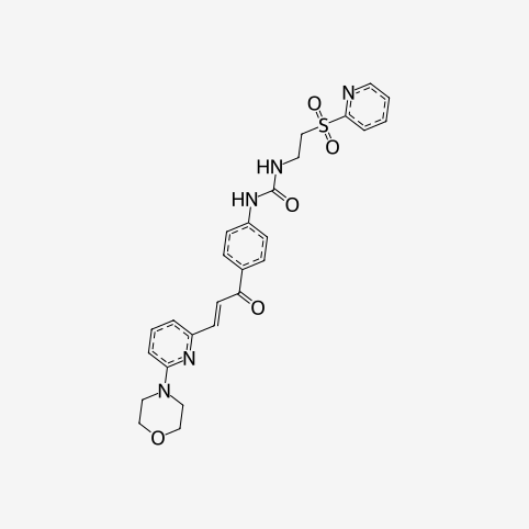 O=C(NCCS(=O)(=O)c1ccccn1)Nc1ccc(C(=O)/C=C/c2cccc(N3CCOCC3)n2)cc1